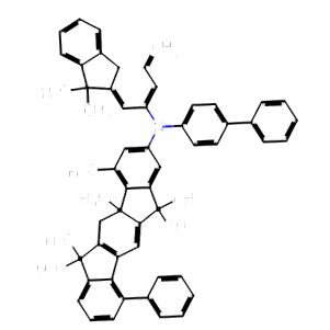 C=C/C=C(\C=C1/Cc2ccccc2C1(C)C)N(c1ccc(-c2ccccc2)cc1)c1cc(C)c2c(c1)C(C)(C)C1=CC3=C(CC12C)C(C)(C)c1cccc(-c2ccccc2)c13